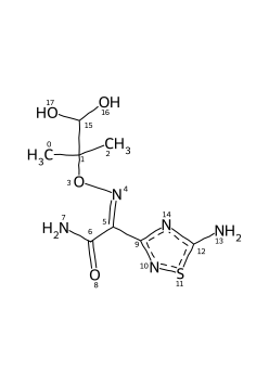 CC(C)(O/N=C(\C(N)=O)c1nsc(N)n1)C(O)O